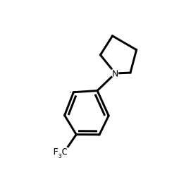 FC(F)(F)c1c[c]c(N2CCCC2)cc1